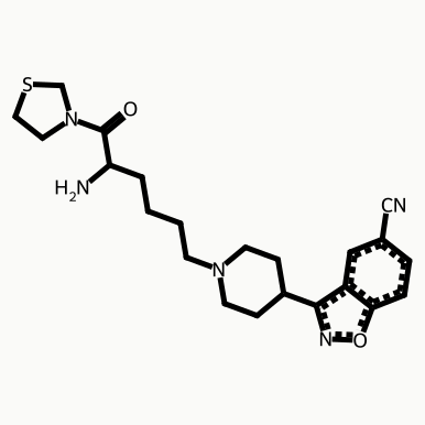 N#Cc1ccc2onc(C3CCN(CCCCC(N)C(=O)N4CCSC4)CC3)c2c1